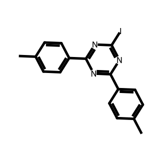 Cc1ccc(-c2nc(I)nc(-c3ccc(C)cc3)n2)cc1